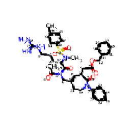 CC(=O)N(CC1=CC(CC(=O)OCc2ccccc2)C(=O)N(c2ccccc2)CC1)C(=O)[C@H](CCCNC(=N)N)N(C)S(=O)(=O)c1ccc(C)cc1